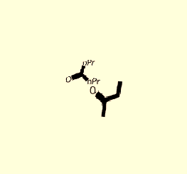 CCC(C)=O.CCCC(=O)CCC